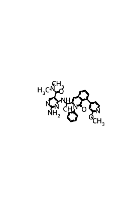 COc1cc(-c2cccc3cc(C(C)Nc4nc(N)ncc4C(=O)N(C)C)n(-c4ccccc4)c(=O)c23)ccn1